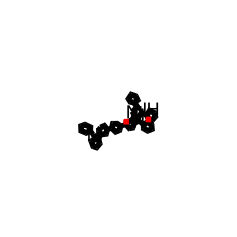 c1ccc(C2=c3c(c4cc(-c5ccc(-c6ccc7c(c6)c6ccccc6n7-c6ccccc6)cc5)ccc4n3-c3ccccc3)=NC(c3ccccc3)N2)cc1